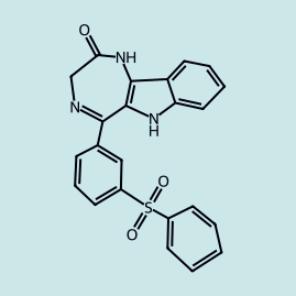 O=C1CN=C(c2cccc(S(=O)(=O)c3ccccc3)c2)c2[nH]c3ccccc3c2N1